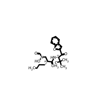 CCCC[C@H](CN(O)C=O)C(=O)N[C@H](C(=O)c1cc2ccccc2o1)C(C)(C)C